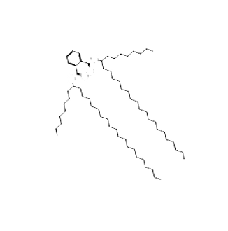 CCCCCCCCCCCCCCCCCCCC(CCCCCCCC)OC(=O)c1ccccc1C(=O)OC(CCCCCCCC)CCCCCCCCCCCCCCCCCCC